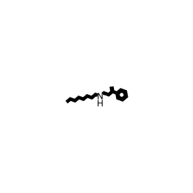 C=C(CCNCCCCCCCC)c1ccccc1